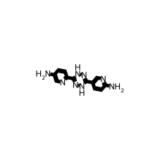 Nc1ccc(C2=NNC(c3ccc(N)nc3)=NN2)nc1